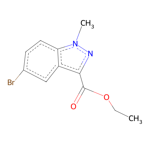 CCOC(=O)c1nn(C)c2ccc(Br)cc12